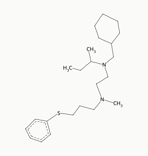 CCC(C)N(CCN(C)CCCSc1ccccc1)CC1CCCCC1